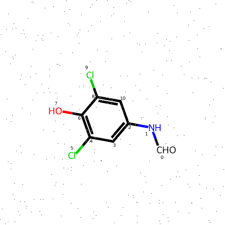 O=CNc1cc(Cl)c(O)c(Cl)c1